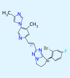 Cc1cn(-c2cnc(/C=C/c3nc4n(n3)CCC[C@@H]4c3ccc(F)cc3Br)cc2C)cn1